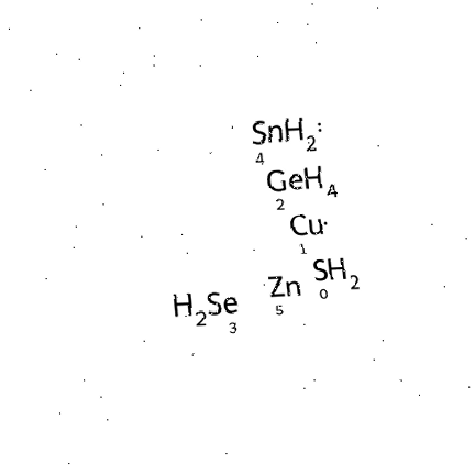 S.[Cu].[GeH4].[SeH2].[SnH2].[Zn]